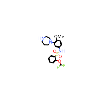 COc1ccc(NS(=O)(=O)c2ccccc2OC(F)F)cc1N1CCCNCC1